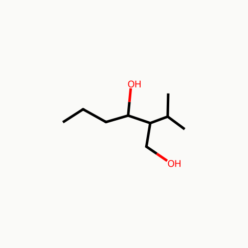 CCCC(O)C(CO)C(C)C